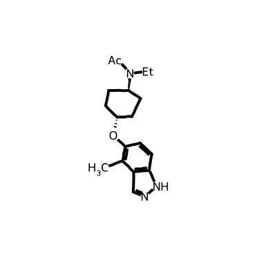 CCN(C(C)=O)[C@H]1CC[C@H](Oc2ccc3[nH]ncc3c2C)CC1